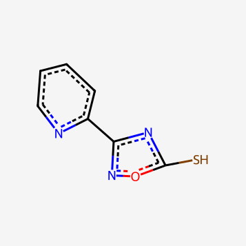 Sc1nc(-c2ccccn2)no1